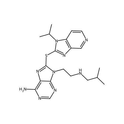 CC(C)CNCCn1c(Sc2nc3cnccc3n2C(C)C)nc2c(N)ncnc21